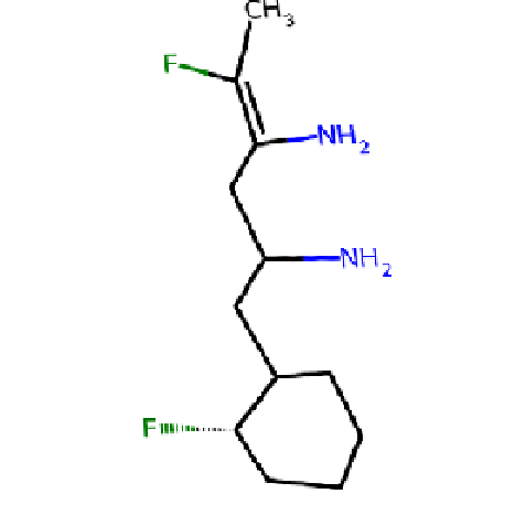 C/C(F)=C(\N)CC(N)CC1CCCC[C@@H]1F